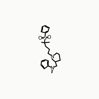 CN(CC1CCCN(CCCC(C)(C)S(=O)(=O)c2ccccc2)C1)c1ccccc1